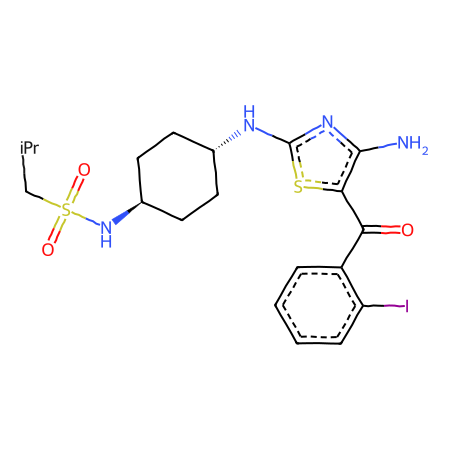 CC(C)CS(=O)(=O)N[C@H]1CC[C@H](Nc2nc(N)c(C(=O)c3ccccc3I)s2)CC1